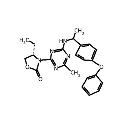 CC[C@H]1COC(=O)N1c1nc(C)nc(NC(C)c2ccc(Oc3ccccc3)cc2)n1